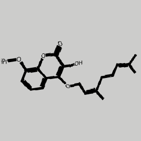 CC(C)=CCCC(C)=CCOc1c(O)c(=O)oc2c(OC(C)C)cccc12